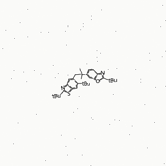 CC(C)(C)c1nc2ccc(C(C)(C)Cc3cc4nc(C(C)(C)C)sc4cc3C(C)(C)C)cc2o1